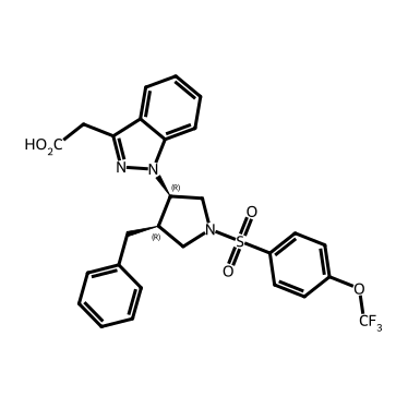 O=C(O)Cc1nn([C@H]2CN(S(=O)(=O)c3ccc(OC(F)(F)F)cc3)C[C@H]2Cc2ccccc2)c2ccccc12